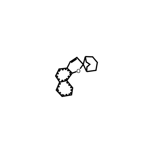 C1=CC2(Oc3c1ccc1ccccc31)C1CCCC2CCC1